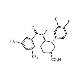 CN(C(=O)c1cc(C(F)(F)F)cc(C(F)(F)F)c1)[C@@H]1CCN(C(=O)O)C[C@H]1c1ccc(F)c(F)c1